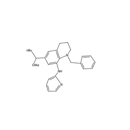 CCCCC(OC)c1cc2c(c(Nc3ccccn3)c1)N(Cc1ccccc1)CCC2